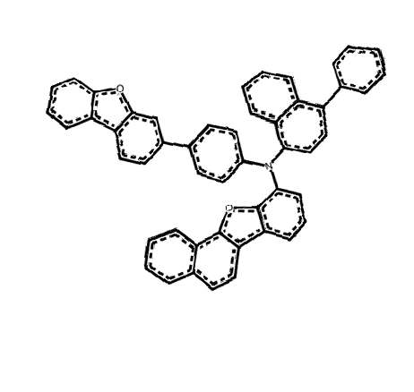 c1ccc(-c2ccc(N(c3ccc(-c4ccc5c(c4)oc4ccccc45)cc3)c3cccc4c3oc3c5ccccc5ccc43)c3ccccc23)cc1